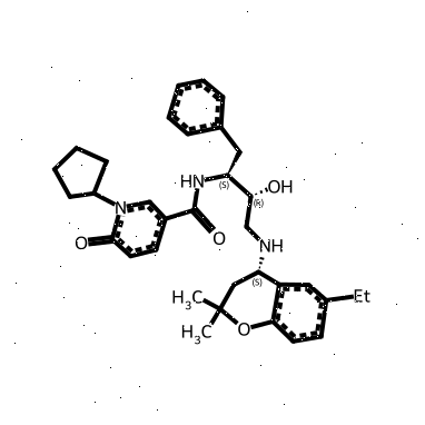 CCc1ccc2c(c1)[C@@H](NC[C@@H](O)[C@H](Cc1ccccc1)NC(=O)c1ccc(=O)n(C3CCCC3)c1)CC(C)(C)O2